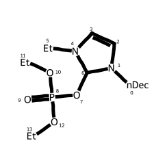 CCCCCCCCCCN1C=CN(CC)C1OP(=O)(OCC)OCC